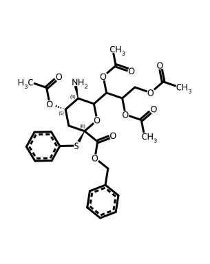 CC(=O)OCC(OC(C)=O)C(OC(C)=O)C1O[C@](Sc2ccccc2)(C(=O)OCc2ccccc2)C[C@H](OC(C)=O)[C@H]1N